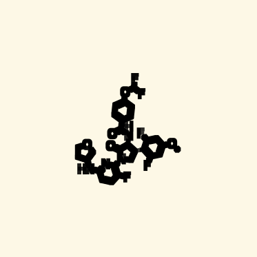 COc1cc(F)c([C@@H]2CN(c3nc(NC4CCOC4)ccc3F)C(=O)[C@H]2NC(=O)c2ccc(OC(F)F)cc2)c(F)c1